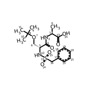 C[C@H](NC(=O)[C@@H](COC(C)(C)C)NS(=O)(=O)Cc1ccccc1)C(=O)O